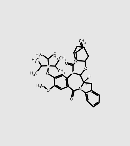 C=CCOC(=O)N1c2cc(O[Si](C(C)C)(C(C)C)C(C)C)c(OC)cc2C(=O)N2c3ccccc3C[C@H]2C1OC1CCCCO1